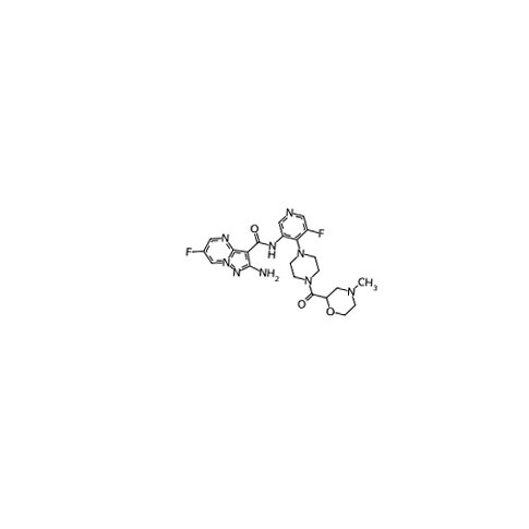 CN1CCOC(C(=O)N2CCN(c3c(F)cncc3NC(=O)c3c(N)nn4cc(F)cnc34)CC2)C1